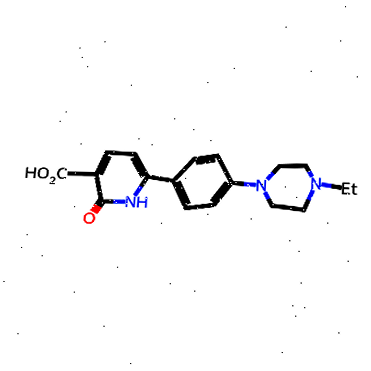 CCN1CCN(c2ccc(-c3ccc(C(=O)O)c(=O)[nH]3)cc2)CC1